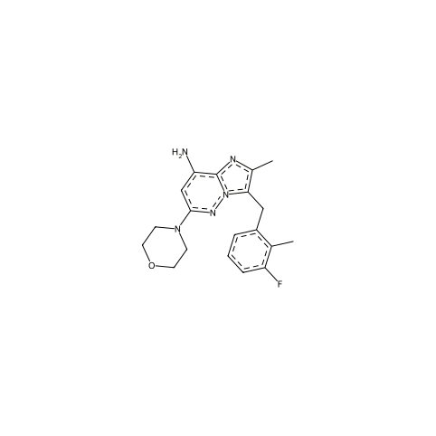 Cc1nc2c(N)cc(N3CCOCC3)nn2c1Cc1cccc(F)c1C